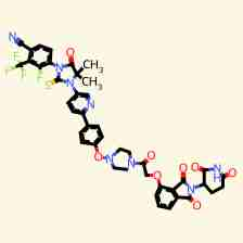 CC1(C)C(=O)N(c2ccc(C#N)c(C(F)(F)F)c2F)C(=S)N1c1ccc(-c2ccc(ON3CCN(C(=O)COc4cccc5c4C(=O)N(C4CCC(=O)NC4=O)C5=O)CC3)cc2)nc1